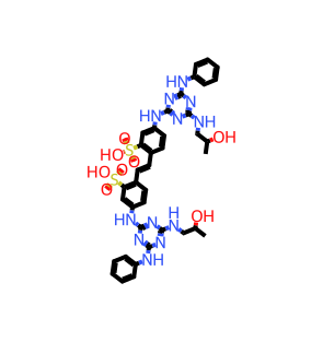 CC(O)CNc1nc(Nc2ccccc2)nc(Nc2ccc(C=Cc3ccc(Nc4nc(NCC(C)O)nc(Nc5ccccc5)n4)cc3S(=O)(=O)O)c(S(=O)(=O)O)c2)n1